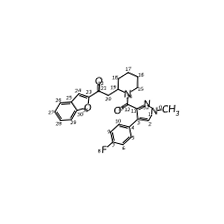 Cn1cc(-c2ccc(F)cc2)c(C(=O)N2CCCCC2CC(=O)c2cc3ccccc3o2)n1